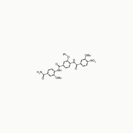 CC(C)COc1cc(C(N)=O)ccc1NC(=O)c1ccc(NC(=O)c2ccc([N+](=O)[O-])c(OCC(C)C)c2)c(OC(C)C)c1